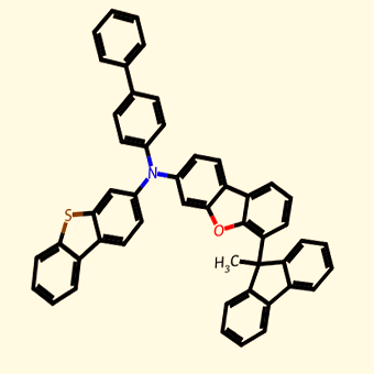 CC1(c2cccc3c2oc2cc(N(c4ccc(-c5ccccc5)cc4)c4ccc5c(c4)sc4ccccc45)ccc23)c2ccccc2-c2ccccc21